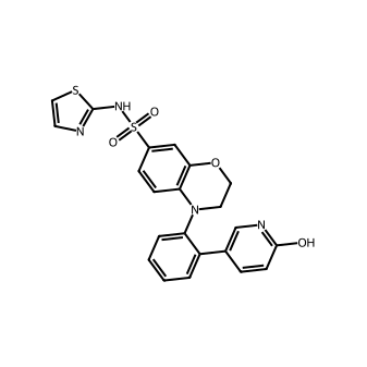 O=S(=O)(Nc1nccs1)c1ccc2c(c1)OCCN2c1ccccc1-c1ccc(O)nc1